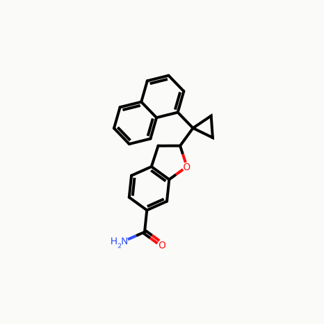 NC(=O)c1ccc2c(c1)OC(C1(c3cccc4ccccc34)CC1)C2